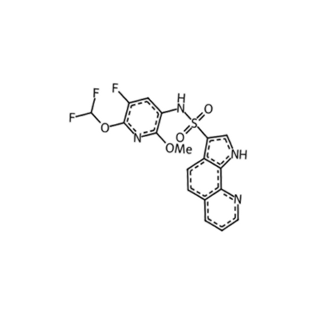 COc1nc(OC(F)F)c(F)cc1NS(=O)(=O)c1c[nH]c2c1ccc1cccnc12